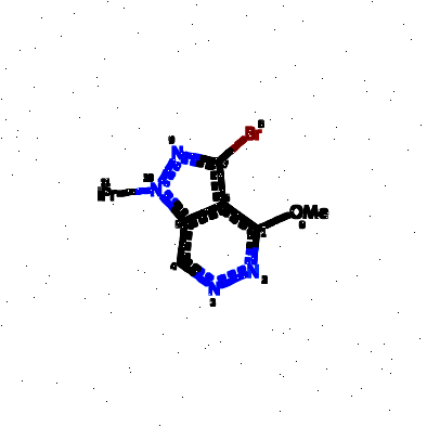 COc1nncc2c1c(Br)nn2C(C)C